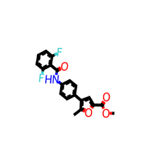 COC(=O)c1cc(-c2ccc(NC(=O)c3c(F)cccc3F)cc2)c(C)o1